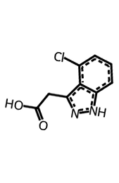 O=C(O)Cc1n[nH]c2cccc(Cl)c12